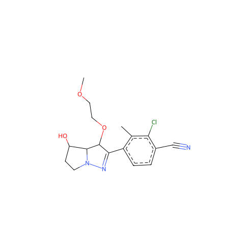 COCCOC1C(c2ccc(C#N)c(Cl)c2C)=NN2CCC(O)C12